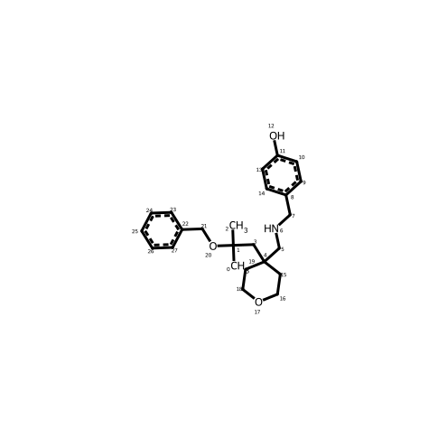 CC(C)(CC1(CNCc2ccc(O)cc2)CCOCC1)OCc1ccccc1